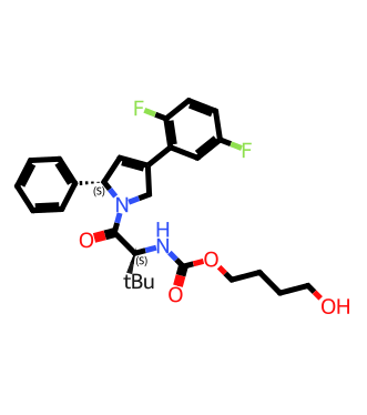 CC(C)(C)[C@H](NC(=O)OCCCCO)C(=O)N1CC(c2cc(F)ccc2F)=C[C@H]1c1ccccc1